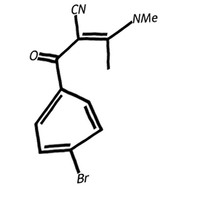 CNC(C)=C(C#N)C(=O)c1ccc(Br)cc1